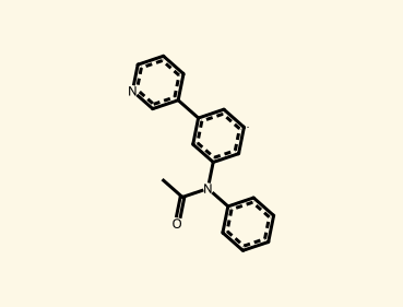 CC(=O)N(c1ccccc1)c1c[c]cc(-c2cccnc2)c1